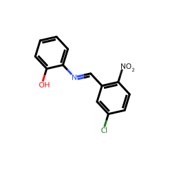 O=[N+]([O-])c1ccc(Cl)cc1C=Nc1ccccc1O